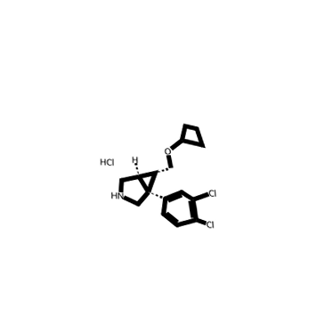 Cl.Clc1ccc([C@]23CNC[C@H]2[C@@H]3COC2CCC2)cc1Cl